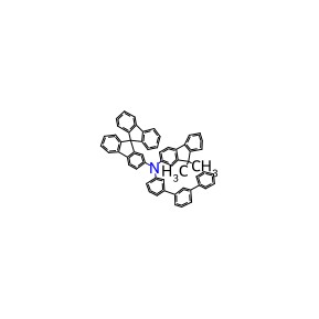 CC1(C)c2ccccc2-c2ccc(N(c3cccc(-c4cccc(-c5ccccc5)c4)c3)c3ccc4c(c3)C3(c5ccccc5-c5ccccc53)c3ccccc3-4)cc21